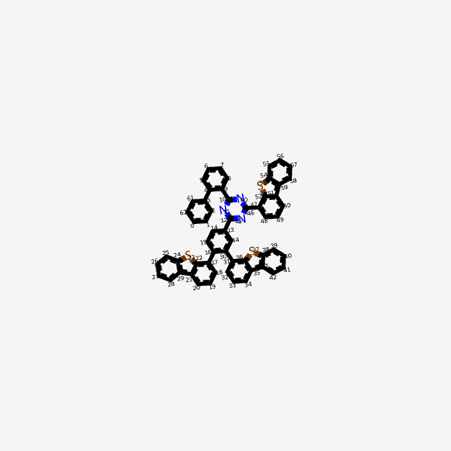 c1ccc(-c2ccccc2-c2nc(-c3ccc(-c4cccc5c4sc4ccccc45)c(-c4cccc5c4sc4ccccc45)c3)nc(-c3cccc4c3sc3ccccc34)n2)cc1